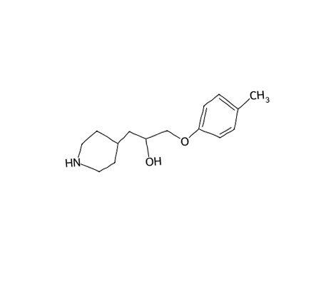 Cc1ccc(OCC(O)CC2CCNCC2)cc1